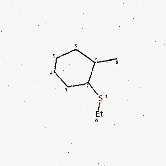 CCSC1CCCCC1C